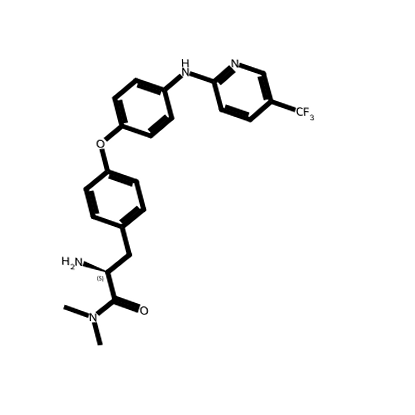 CN(C)C(=O)[C@@H](N)Cc1ccc(Oc2ccc(Nc3ccc(C(F)(F)F)cn3)cc2)cc1